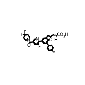 O=C(O)NCc1cc2cc(-c3ncc(C(=O)N4CCC(F)(F)CC4)cc3F)cc(-c3ccc(F)cc3)c2o1